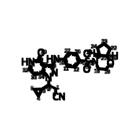 N#CC[C@@H](C1CC1)n1nc(Nc2ccc(S(=O)(=O)N3CCO[C@@H]4CCC[C@H]43)cc2)c2c(=O)[nH]ccc21